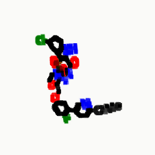 COc1ccc(-c2cc(OC[C@@H]3CN(S(=O)(=O)c4c(C(N)=O)[nH]c5ccc(Cl)cc45)CCO3)ccc2F)cn1